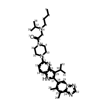 CCCCN(CC(=O)N1CCN(c2ccc3[nH]c(-c4cn5ncnc5c(C)c4C)c(C(C)C)c3n2)CC1)C(C)C